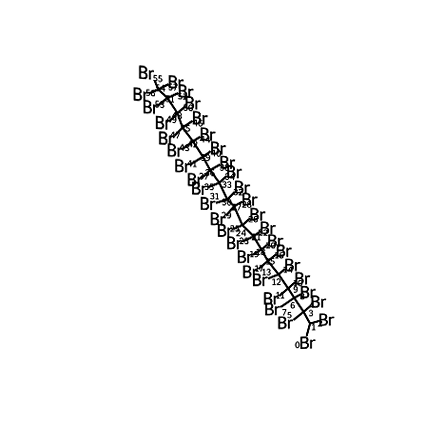 BrC(Br)C(Br)(Br)C(Br)(Br)C(Br)(Br)C(Br)(Br)C(Br)(Br)C(Br)(Br)C(Br)(Br)C(Br)(Br)C(Br)(Br)C(Br)(Br)C(Br)(Br)C(Br)(Br)C(Br)(Br)C(Br)(Br)C(Br)(Br)C(Br)(Br)C(Br)(Br)C(Br)(Br)Br